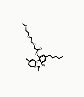 C=C(C)[C@@H]1CCC(C)=C[C@H]1c1c(O)cc(CCCCC)cc1OC(=O)COCCOCCOC